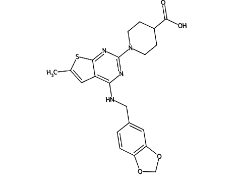 Cc1cc2c(NCc3ccc4c(c3)OCO4)nc(N3CCC(C(=O)O)CC3)nc2s1